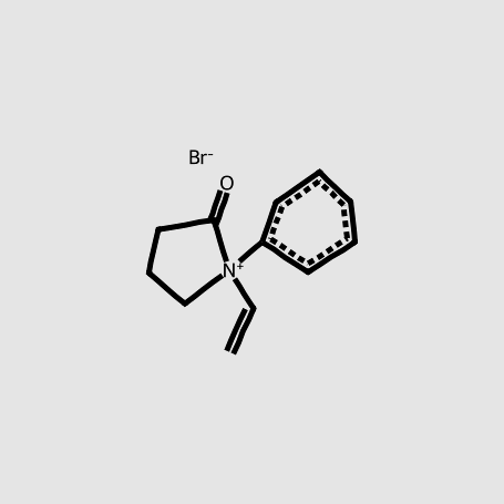 C=C[N+]1(c2ccccc2)CCCC1=O.[Br-]